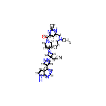 COCCN(C)Cc1cc(C(=O)N2CCC(N3CC(CC#N)(n4cc(C5N=CN=C6NC=CC65)cn4)C3)CC2)nc(C(F)(F)F)n1